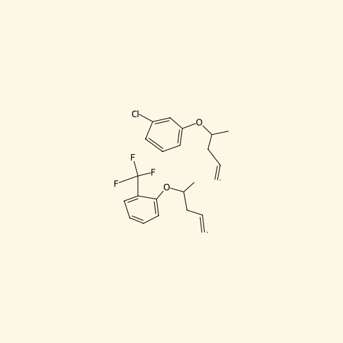 [CH]=CCC(C)Oc1cccc(Cl)c1.[CH]=CCC(C)Oc1ccccc1C(F)(F)F